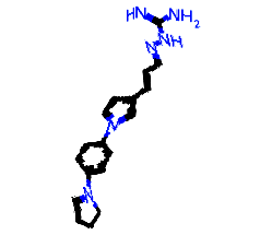 N=C(N)N/N=C/C=C/c1ccn(-c2ccc(N3CCCC3)cc2)c1